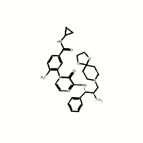 Cc1ccc(C(=O)NC2CC2)cc1-n1ccnc(N[C@@H](c2ccccc2)[C@H](C)CN2CCC3(CC2)OCCO3)c1=O